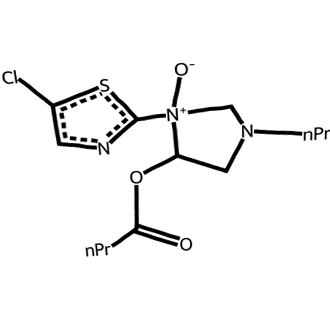 CCCC(=O)OC1CN(CCC)C[N+]1([O-])c1ncc(Cl)s1